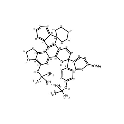 COc1ccc(C2(c3ccc(OC(N)(N)N)cc3)C=Cc3c4c(c5c6c(c(OC(N)(N)N)cc5c3O2)OCC6)-c2ccccc2C42CCCCC2)cc1